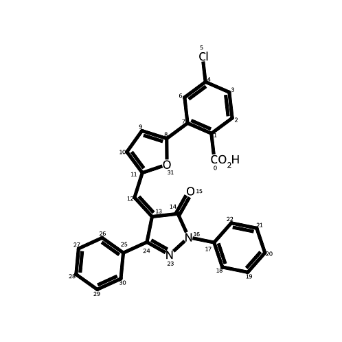 O=C(O)c1ccc(Cl)cc1-c1ccc(C=C2C(=O)N(c3ccccc3)N=C2c2ccccc2)o1